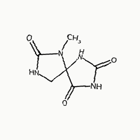 CN1C(=O)NCC12NC(=O)NC2=O